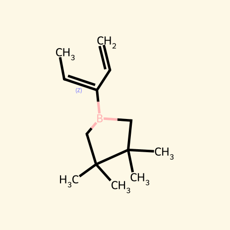 C=C/C(=C\C)B1CC(C)(C)C(C)(C)C1